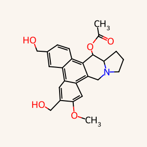 COc1cc2c3c(c4ccc(CO)cc4c2cc1CO)C(OC(C)=O)C1CCCN1C3